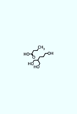 CCCC(=O)O.OCCCC(CO)CO